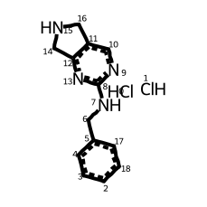 Cl.Cl.c1ccc(CNc2ncc3c(n2)CNC3)cc1